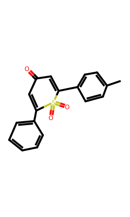 Cc1ccc(C2=CC(=O)C=C(c3ccccc3)S2(=O)=O)cc1